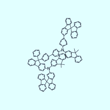 CC1(C)c2ccccc2-c2ccc(N(c3ccc(-c4ccc(C5(c6ccccc6)c6ccccc6-c6ccc(N(c7ccc8c(c7)C(C)(C)c7ccccc7-8)c7ccc8c(c7)C7(c9ccccc9-c9ccccc97)c7ccccc7-8)cc65)cc4)cc3)c3ccc(-c4ccc5c(c4)C4(c6ccccc6-c6ccccc64)c4ccccc4-5)cc3)cc21